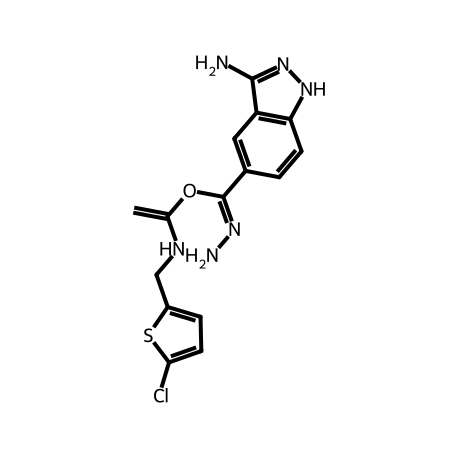 C=C(NCc1ccc(Cl)s1)O/C(=N\N)c1ccc2[nH]nc(N)c2c1